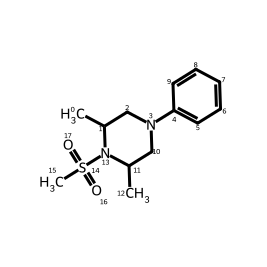 CC1CN(c2ccccc2)CC(C)N1S(C)(=O)=O